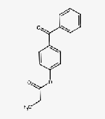 O=C(CC(F)(F)F)Oc1ccc(C(=O)c2ccccc2)cc1